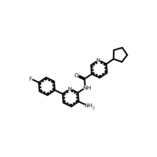 Nc1ccc(-c2ccc(F)cc2)nc1NC(=O)c1ccc(C2CCCC2)nc1